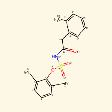 CC(C)c1cccc(C(C)C)c1OS(=O)(=O)NC(=O)Cc1ccccc1C(F)(F)F